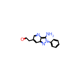 Nc1c2ncc(CC=O)cc2nn1-c1ccccc1